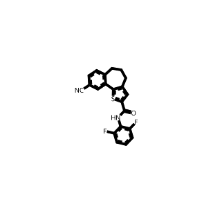 N#Cc1ccc2c(c1)-c1sc(C(=O)Nc3c(F)cccc3F)cc1CCC2